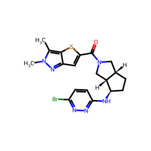 Cc1c2sc(C(=O)N3C[C@@H]4CC[C@@H](Nc5ccc(Br)nn5)[C@@H]4C3)cc2nn1C